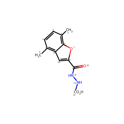 Cc1ccc(C)c2oc(C(=O)NNC(=O)O)cc12